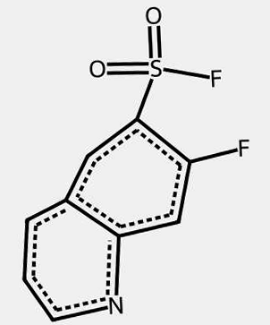 O=S(=O)(F)c1cc2cccnc2cc1F